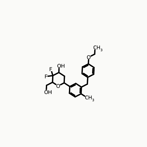 CCOc1ccc(Cc2cc(C3CC(O)C(F)(F)C(CO)O3)ccc2C)cc1